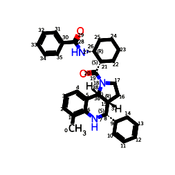 Cc1cccc2c1N[C@@H](C1C=CC=CC1)[C@H]1CCN(C(=O)[C@H]3CCCC[C@H]3NC(=O)c3ccccc3)[C@@H]21